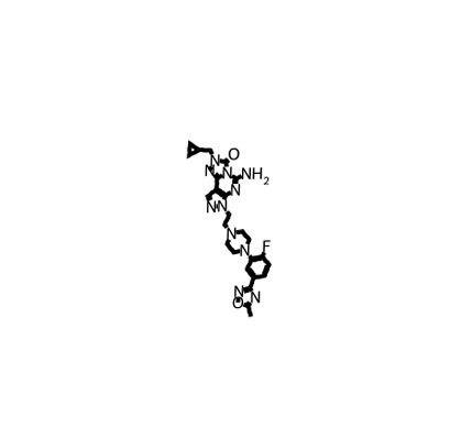 Cc1nc(-c2ccc(F)c(N3CCN(CCn4ncc5c4nc(N)n4c(=O)n(CC6CC6)nc54)CC3)c2)no1